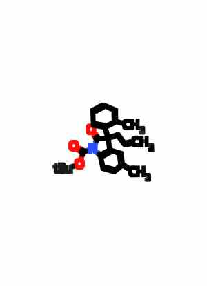 C=CCC1(c2ccccc2C)C(=O)N(C(=O)OC(C)(C)C)c2ccc(C)cc21